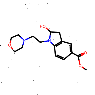 COC(=O)c1ccc2c(c1)CC(O)N2CCN1CCOCC1